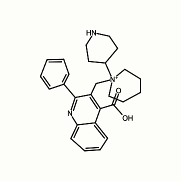 O=C(O)c1c(C[N+]2(C3CCNCC3)CCCCC2)c(-c2ccccc2)nc2ccccc12